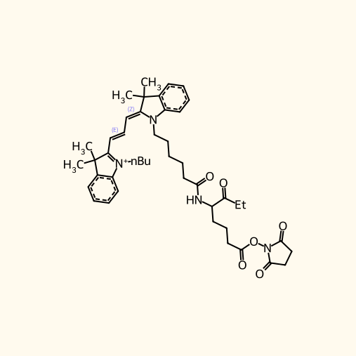 CCCC[N+]1=C(/C=C/C=C2\N(CCCCCC(=O)NC(CCCC(=O)ON3C(=O)CCC3=O)C(=O)CC)c3ccccc3C2(C)C)C(C)(C)c2ccccc21